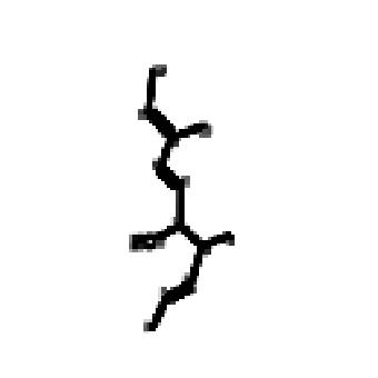 C/C=C/C(C)C(O)/C=C/C(C)=C/C